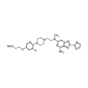 COCCOc1cnc(N2CCN(CCN(C)c3cc4nc(-c5ncco5)nn4c(N)n3)CC2)c(F)c1